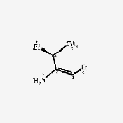 CC/C=C(/N)[C@H](C)CC